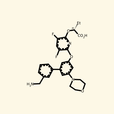 CC[C@@H](Oc1nc(Oc2cc(-c3cccc(CN)c3)cc(N3CCOCC3)c2)c(F)cc1F)C(=O)O